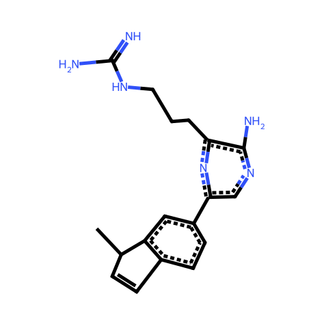 CC1C=Cc2ccc(-c3cnc(N)c(CCCNC(=N)N)n3)cc21